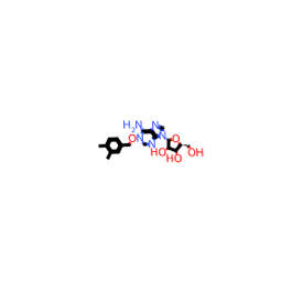 Cc1ccc(CON2CN=c3c(ncn3[C@@H]3O[C@H](CO)[C@@H](O)[C@H]3O)=C2N)cc1C